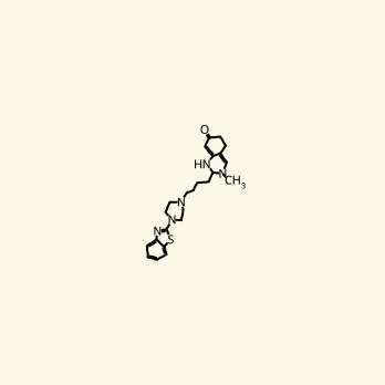 CN1C=C2CCC(=O)C=C2NC1CCCCN1CCN(c2nc3ccccc3s2)CC1